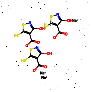 O=C([O-])c1c(O)nsc1S.O=C([O-])c1c(O)nsc1S.O=C([O-])c1c(O)nsc1S.[Na+].[Na+].[Na+]